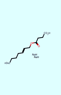 CCCCCCCCCCCCCC=CCOC(=O)CCC(=O)O.[NaH].[NaH]